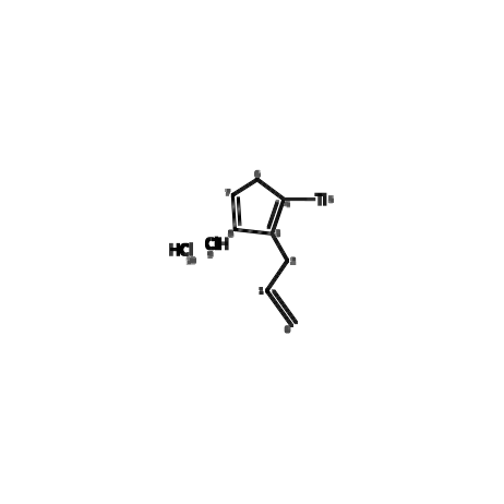 C=CCC1=[C]([Ti])CC=C1.Cl.Cl